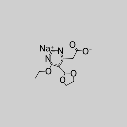 CCOc1ncnc(CC(=O)[O-])c1C1OCCO1.[Na+]